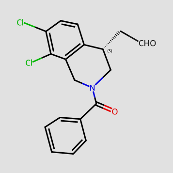 O=CC[C@@H]1CN(C(=O)c2ccccc2)Cc2c1ccc(Cl)c2Cl